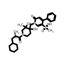 C[C@H](CC1CCCCC1)C(=O)N1CCC(O)(Cn2cc(S(C)(=N)=O)c(-c3ccccc3)cc2=O)C(C)(C)C1